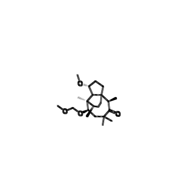 COCO[C@@H]1CC(C)(C)C(=O)[C@H](C)C23CC[C@@H](C)[C@]1(C)C2[C@H](OC)CC3